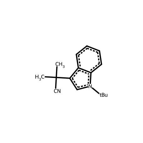 CC(C)(C#N)c1cn(C(C)(C)C)c2ccccc12